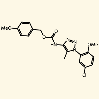 COc1ccc(COC(=O)Nc2nnn(-c3cc(Cl)ccc3OC)c2C)cc1